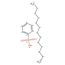 CCCCCCCCCCCCC.O=S(=O)(O)c1ccccc1